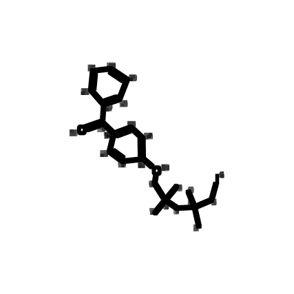 CC(C)(CI)CC(C)(C)COc1ccc(C(=O)c2ccccc2)cc1